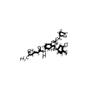 CN(C)CC=CC(=O)Nc1ccc2nc(OC[C@H]3CCCO3)nc(Nc3ccc(F)c(Cl)c3)c2c1